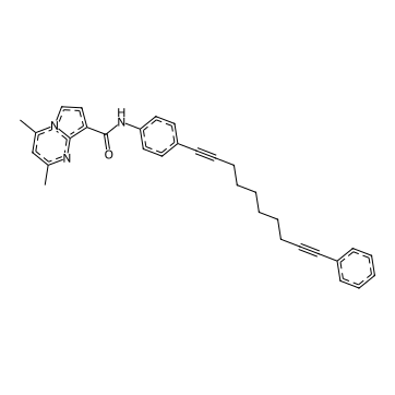 Cc1cc(C)n2ccc(C(=O)Nc3ccc(C#CCCCCCCC#Cc4ccccc4)cc3)c2n1